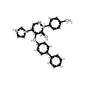 Cc1ccc(-n2ncc(-n3ccnc3)c(Oc3ccc(-c4ccccc4)cc3)c2=O)cc1